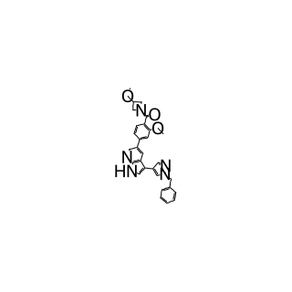 COc1cc(-c2cnc3[nH]cc(-c4cnn(Cc5ccccc5)c4)c3c2)ccc1C(=O)N1CC(OC)C1